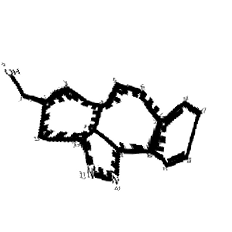 OCc1cc2ccc3c(c4nnc(c1)c2-4)C=CCC=3